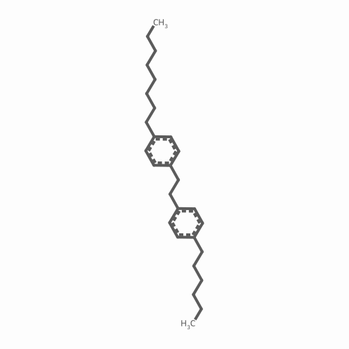 CCCCCCCCc1ccc(CCc2ccc(CCCCCC)cc2)cc1